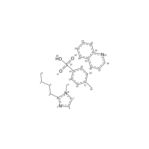 CCCCc1nccn1C.Cc1ccc(S(=O)(=O)O)cc1.c1ccc2ncccc2c1